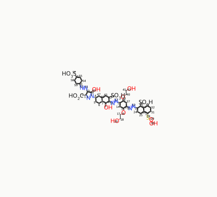 O=C(O)c1nn(-c2ccc3c(O)c(/N=N/c4cc(OCCO)c(/N=N/c5ccc6c(SOO)cccc6c5S(=O)(=O)O)cc4OCCO)c(S(=O)(=O)O)cc3c2)c(O)c1/N=N/c1ccc(S(=O)(=O)O)cc1